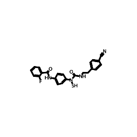 N#Cc1ccc(CCNC(=O)N(S)c2ccc(NC(=O)c3ccccc3F)cc2)cc1